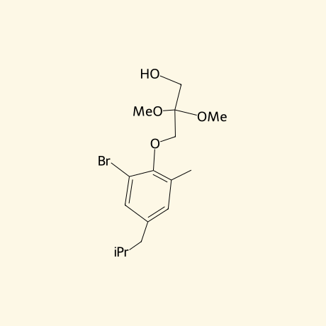 COC(CO)(COc1c(C)cc(CC(C)C)cc1Br)OC